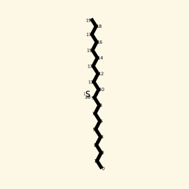 CCCCCCCCCCCCCCCCCCCC.[S]